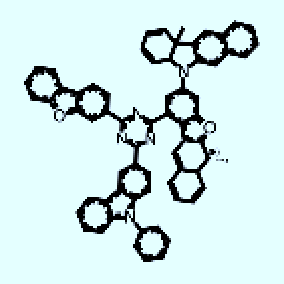 C[C@H]1c2oc3cc(N4c5cc6ccccc6cc5C5(C)C=CC=CC45)cc(-c4nc(-c5ccc6c(c5)oc5ccccc56)nc(-c5ccc6c(c5)c5ccccc5n6-c5ccccc5)n4)c3c2C=C2C=CC=CC21